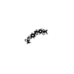 C=C(C)C(=O)O/C=C\Oc1ccc(-c2ccc(-c3ccc(OC(=O)C(=C)C)cc3)o2)cc1